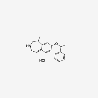 CC1CNCC=C2C=CC(OC(C)c3ccccc3)C=C21.Cl